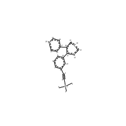 CS(C)(C)C#Cc1cccc(-c2ncccc2-c2ccncc2)c1